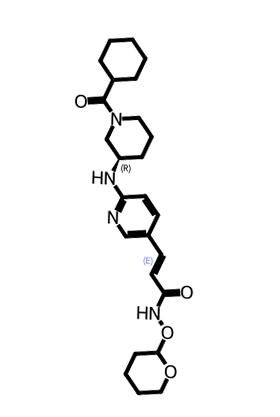 O=C(/C=C/c1ccc(N[C@@H]2CCCN(C(=O)C3CCCCC3)C2)nc1)NOC1CCCCO1